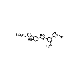 CCOC(=O)CC1CCc2c1[nH]c1ccc(-c3noc(-c4cc(OC(F)(F)F)cc(-c5cnn(CC(C)C)c5)c4)n3)cc21